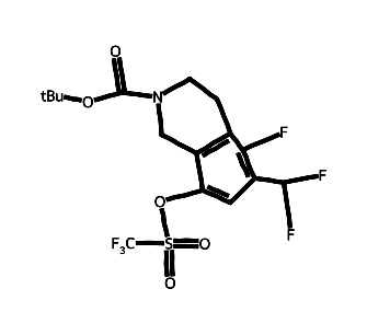 CC(C)(C)OC(=O)N1CCc2c(F)c(C(F)F)cc(OS(=O)(=O)C(F)(F)F)c2C1